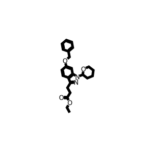 CCOC(=O)CCc1nn(C2CCCCO2)c2cc(OCc3ccccc3)ccc12